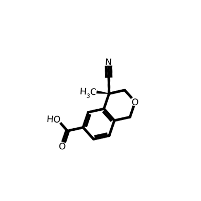 C[C@@]1(C#N)COCc2ccc(C(=O)O)cc21